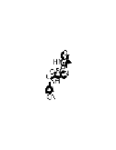 Cn1c(=O)c(C(=O)NCc2ccc(C#N)cc2)cc2ccnc(OCC3(S(=N)(=O)N4CCOCC4)CC3)c21